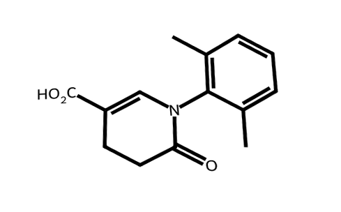 Cc1cccc(C)c1N1C=C(C(=O)O)CCC1=O